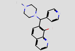 CN1CCN(C(c2ccncc2)c2ccc3cccnc3c2O)CC1